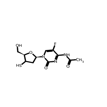 CC(=O)Nc1nc(=O)n([C@H]2CC(S)[C@@H](CO)O2)cc1F